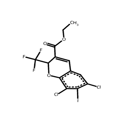 CCOC(=O)C1=Cc2cc(Cl)c(I)c(Cl)c2OC1C(F)(F)F